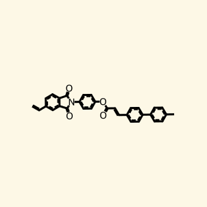 C=Cc1ccc2c(c1)C(=O)N(c1ccc(OC(=O)/C=C/c3ccc(-c4ccc(C)cc4)cc3)cc1)C2=O